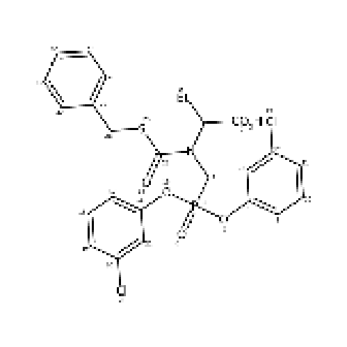 CCC(C(=O)O)N(CP(=O)(Oc1cccc(Cl)c1)Oc1cccc(Cl)c1)C(=O)SCc1ccccc1